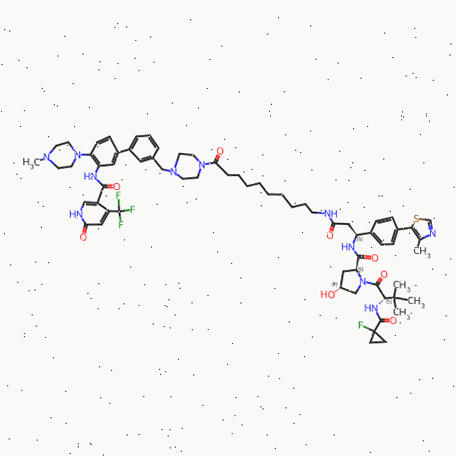 Cc1ncsc1-c1ccc([C@H](CC(=O)NCCCCCCCCCC(=O)N2CCN(Cc3cccc(-c4ccc(N5CCN(C)CC5)c(NC(=O)c5c[nH]c(=O)cc5C(F)(F)F)c4)c3)CC2)NC(=O)[C@@H]2C[C@@H](O)CN2C(=O)[C@@H](NC(=O)C2(F)CC2)C(C)(C)C)cc1